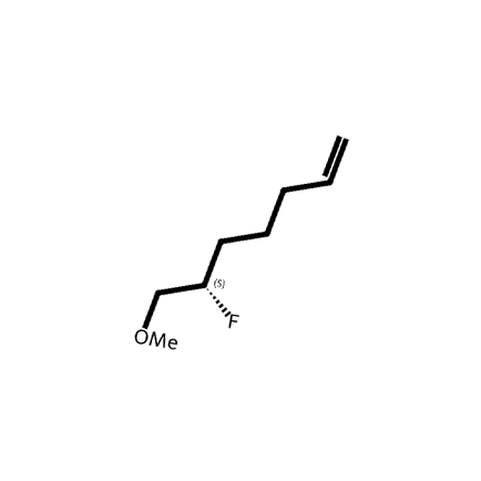 C=CCCC[C@H](F)COC